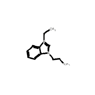 CCCn1c[n+](CC)c2ccccc21